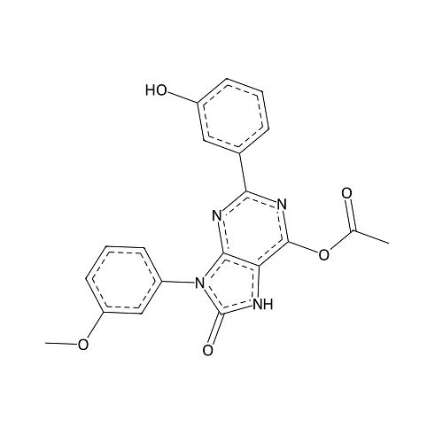 COc1cccc(-n2c(=O)[nH]c3c(OC(C)=O)nc(-c4cccc(O)c4)nc32)c1